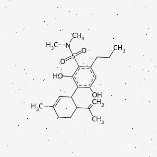 C=C(C)C1CCC(C)=CC1c1c(O)cc(CCC)c(S(=O)(=O)N(C)C)c1O